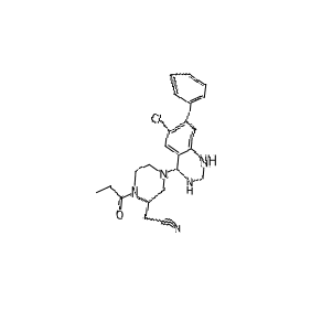 CCC(=O)N1CCN(C2NCNc3cc(-c4ccccc4)c(Cl)cc32)CC1CC#N